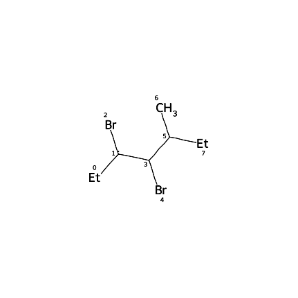 CC[C](Br)C(Br)C(C)CC